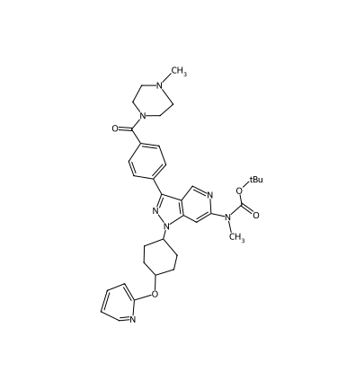 CN1CCN(C(=O)c2ccc(-c3nn(C4CCC(Oc5ccccn5)CC4)c4cc(N(C)C(=O)OC(C)(C)C)ncc34)cc2)CC1